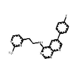 Cc1nccc(CCNc2ncnc3ncc(-c4ccc(F)cc4)cc23)n1